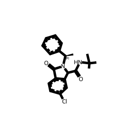 C[C@H](c1ccccc1)N1C(=O)c2ccc(Cl)cc2C1C(=O)NC(C)(C)C